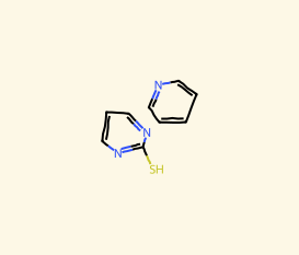 Sc1ncccn1.c1ccncc1